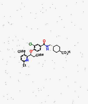 CCc1ccc(OC)c(C(COC)Oc2ccc(C(=O)NC[C@H]3CC[C@H](C(=O)O)CC3)cc2Cl)n1